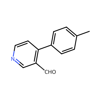 Cc1ccc(-c2ccncc2C=O)cc1